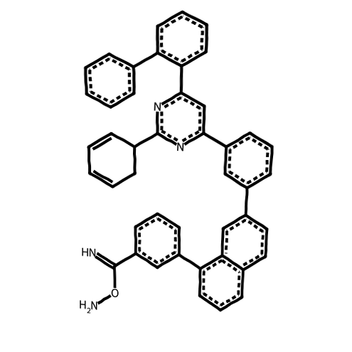 N=C(ON)c1cccc(-c2cccc3ccc(-c4cccc(-c5cc(-c6ccccc6-c6ccccc6)nc(C6C=CC=CC6)n5)c4)cc23)c1